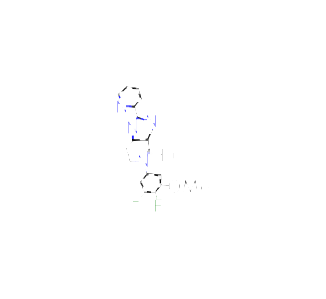 CC[C@H]1c2cnc(-c3ccccn3)nc2CCN1c1cc(F)c(F)c(OC)c1